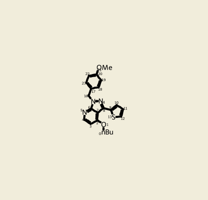 CCCCOc1ccnc2c1c(-c1cccs1)nn2Cc1ccc(OC)cc1